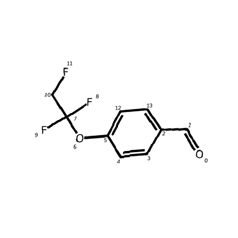 O=Cc1ccc(OC(F)(F)CF)cc1